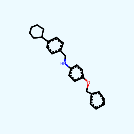 c1ccc(COc2ccc(NCc3ccc(C4CCCCC4)cc3)cc2)cc1